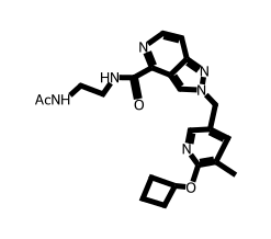 CC(=O)NCCNC(=O)c1nccc2nn(Cc3cnc(OC4CCC4)c(C)c3)cc12